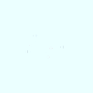 CCOC(=O)C(CC)CC(C)=O